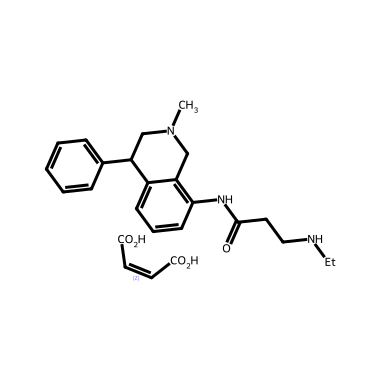 CCNCCC(=O)Nc1cccc2c1CN(C)CC2c1ccccc1.O=C(O)/C=C\C(=O)O